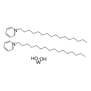 CCCCCCCCCCCCCCCC[n+]1ccccc1.CCCCCCCCCCCCCCCC[n+]1ccccc1.OO.[W]